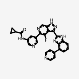 O=C(Nc1cncc(-c2ncc3[nH]nc(-c4nc5c(-c6ccncc6)cccc5[nH]4)c3c2F)c1)C1CC1